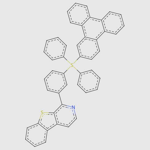 c1ccc(S(c2ccccc2)(c2cccc(-c3nccc4c3sc3ccccc34)c2)c2ccc3c4ccccc4c4ccccc4c3c2)cc1